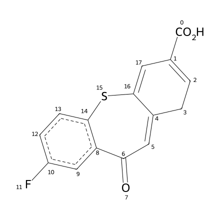 O=C(O)C1=CCC2=CC(=O)c3cc(F)ccc3SC2=C1